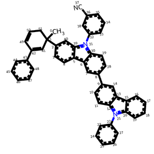 CC1(c2ccc3c4cc(-c5ccc6c(c5)c5ccccc5n6-c5ccccc5)ccc4n(-c4cccc(C#N)c4)c3c2)C=C(c2ccccc2)C=CC1